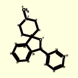 CN1CCC2(CC1)OC(c1cccnc1)c1ccccc12